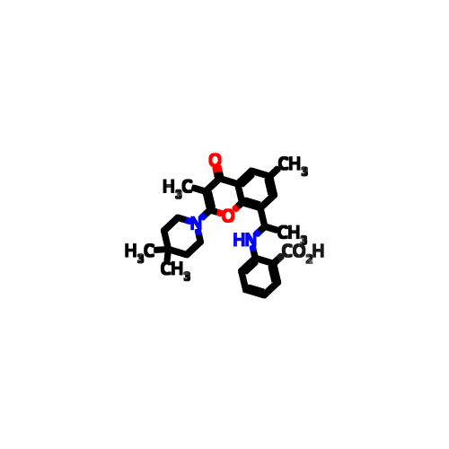 Cc1cc(C(C)Nc2ccccc2C(=O)O)c2oc(N3CCC(C)(C)CC3)c(C)c(=O)c2c1